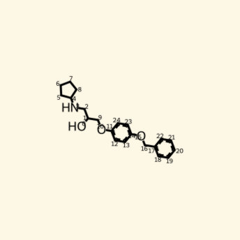 OC(CNC1CCCC1)COc1ccc(OCc2ccccc2)cc1